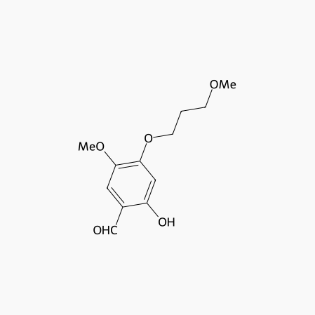 COCCCOc1cc(O)c(C=O)cc1OC